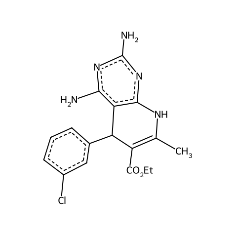 CCOC(=O)C1=C(C)Nc2nc(N)nc(N)c2C1c1cccc(Cl)c1